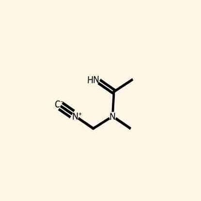 [C-]#[N+]CN(C)C(C)=N